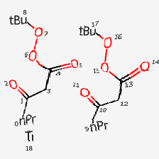 CCCC(=O)CC(=O)OOC(C)(C)C.CCCC(=O)CC(=O)OOC(C)(C)C.[Ti]